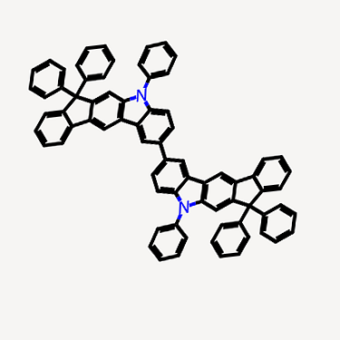 c1ccc(-n2c3ccc(-c4ccc5c(c4)c4cc6c(cc4n5-c4ccccc4)C(c4ccccc4)(c4ccccc4)c4ccccc4-6)cc3c3cc4c(cc32)C(c2ccccc2)(c2ccccc2)c2ccccc2-4)cc1